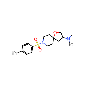 CCN(C)C1COC2(CCN(S(=O)(=O)c3ccc(C(C)C)cc3)CC2)C1